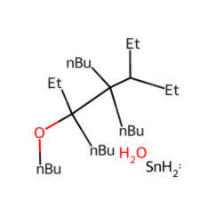 CCCCOC(CC)(CCCC)C(CCCC)(CCCC)C(CC)CC.O.[SnH2]